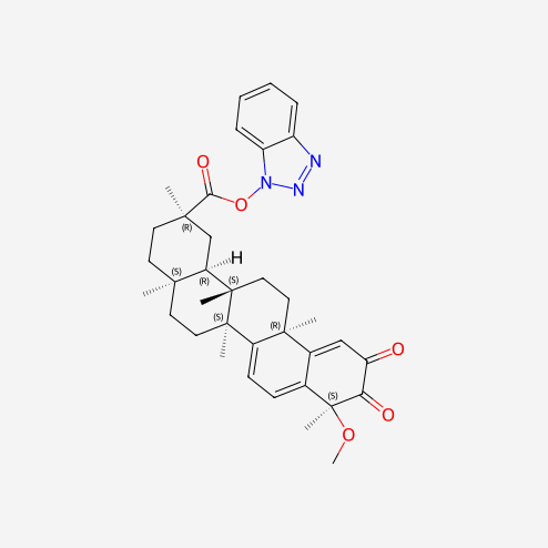 CO[C@]1(C)C(=O)C(=O)C=C2C1=CC=C1[C@@]2(C)CC[C@@]2(C)[C@@H]3C[C@](C)(C(=O)On4nnc5ccccc54)CC[C@]3(C)CC[C@]12C